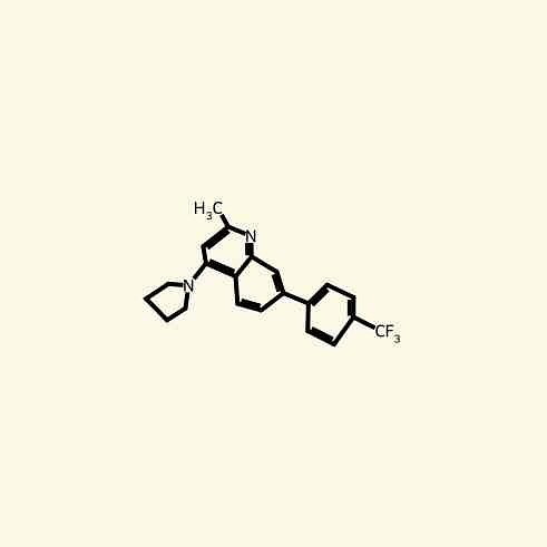 Cc1cc(N2CCCC2)c2ccc(-c3ccc(C(F)(F)F)cc3)cc2n1